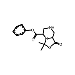 CC1(C)OC(=O)C2CNCC(C(=O)Oc3ccccc3)N21